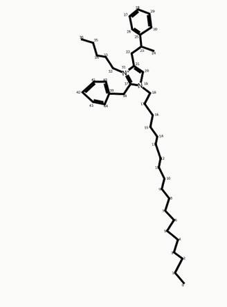 CCCCCCCCCCCCCCCCCCCn1cc(CC(C)c2ccccc2)[n+](CCCCC)c1Cc1ccccc1